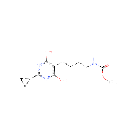 CC(C)(C)OC(=O)NCCCCc1c(O)nc(C2CC2)nc1O